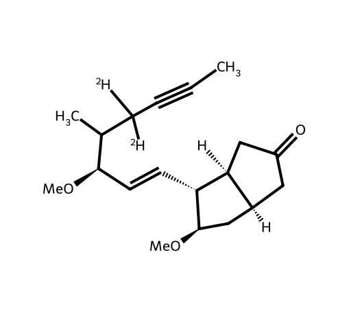 [2H]C([2H])(C#CC)C(C)[C@@H](/C=C/[C@@H]1[C@H]2CC(=O)C[C@H]2C[C@H]1OC)OC